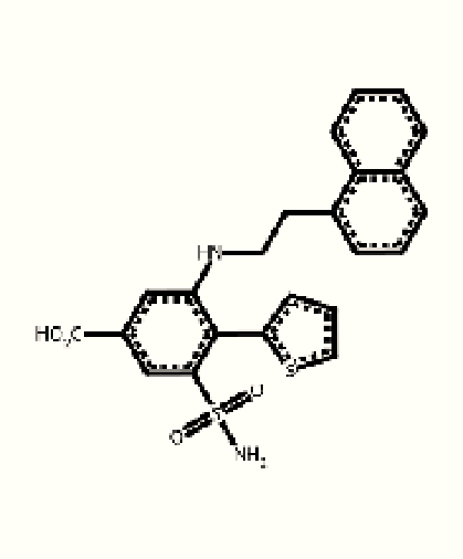 NS(=O)(=O)c1cc(C(=O)O)cc(NCCc2cccc3ccccc23)c1-c1cccs1